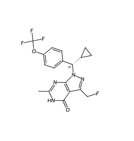 Cc1nc2c(c(CF)nn2[C@H](c2ccc(OC(F)(F)F)cc2)C2CC2)c(=O)[nH]1